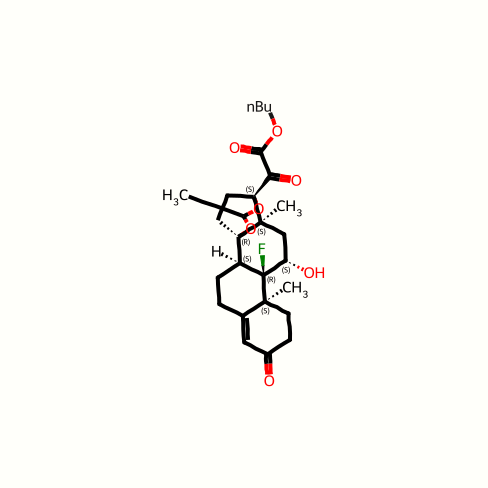 CCCCOC(=O)C(=O)[C@@]12CC[C@@]3(OC(C)O1)[C@@H]1CCC4=CC(=O)CC[C@]4(C)[C@@]1(F)[C@@H](O)C[C@]23C